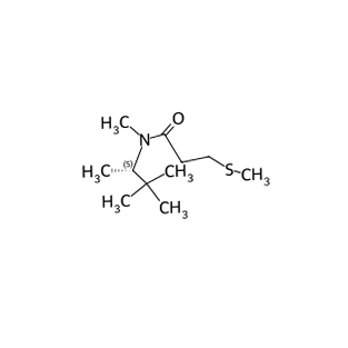 CSCCC(=O)N(C)[C@@H](C)C(C)(C)C